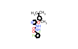 CC(C)C1CCC(C)(Oc2ccncc2NC(=O)NC(=O)c2c(F)cccc2F)CC1